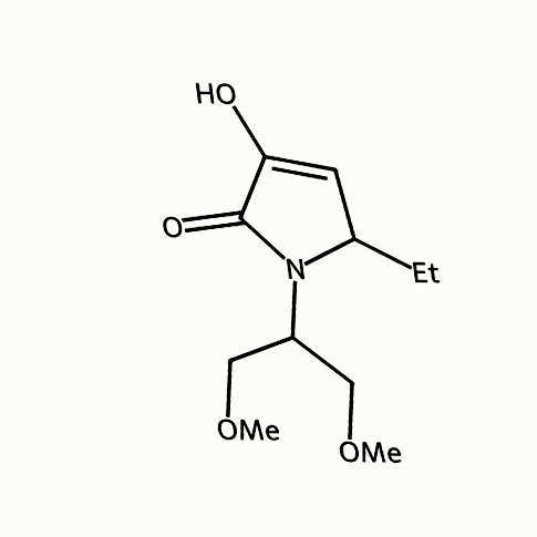 CCC1C=C(O)C(=O)N1C(COC)COC